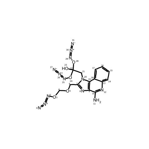 [N-]=[N+]=NOCOCc1nc2c(N)nc3ccccc3c2n1CC(O)(ON=[N+]=[N-])ON=[N+]=[N-]